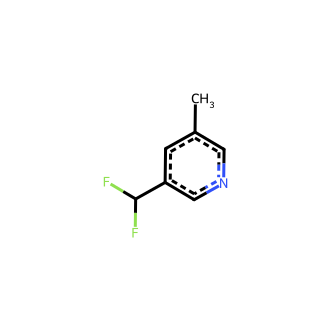 Cc1cncc(C(F)F)c1